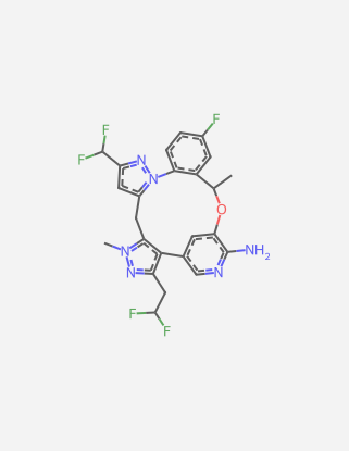 CC1Oc2cc(cnc2N)-c2c(CC(F)F)nn(C)c2Cc2cc(C(F)F)nn2-c2ccc(F)cc21